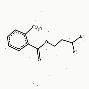 CCC(CC)CCOC(=O)c1ccccc1C(=O)O